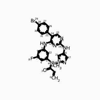 C=CC(=O)Nc1cc(F)cc(Nc2nc(Nc3cnn(C)c3)ncc2-c2ccc(Br)cc2)c1